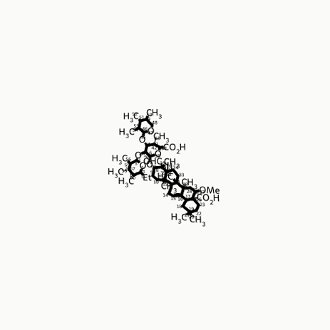 CCC1O[C@@H](OC2[C@H](O[C@H]3CCC4(C)C5CC=C6C7CC(C)(C)CC[C@]7(C(=O)O)C(OC)C[C@@]6(C)C5(C)CC[C@H]4[C@@]3(C)C=O)OC(C(=O)O)[C@@H](C)[C@@H]2OC2OCC(C)C(C)C2C)C(C)[C@@H](C)[C@H]1C